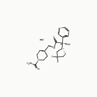 Cl.N=C(N)N1CCC(COC(=O)[C@](O)(c2ccccc2)[C@@H]2CCC(F)(F)C2)CC1